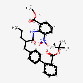 CCCC(Cc1ccc(-c2ccccc2C(=O)OC(C)(C)C)cc1)C(=O)Nc1c(C(=O)OC)cccc1[N+](=O)[O-]